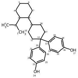 CC(C)C1CCCCC1C1CCC(c2ccc(O)cc2)(c2ccc(O)cc2)CC1